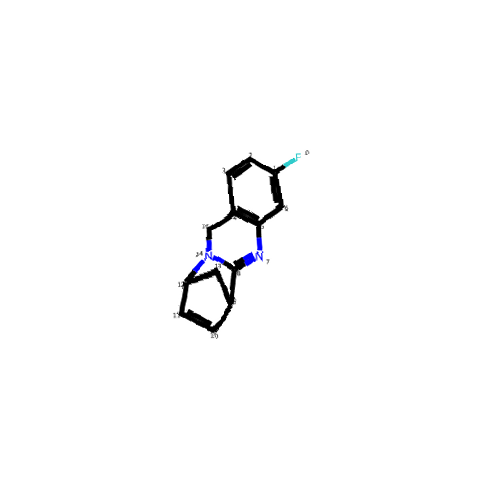 Fc1ccc2c(c1)N=C1C3C=CC(C3)N1C2